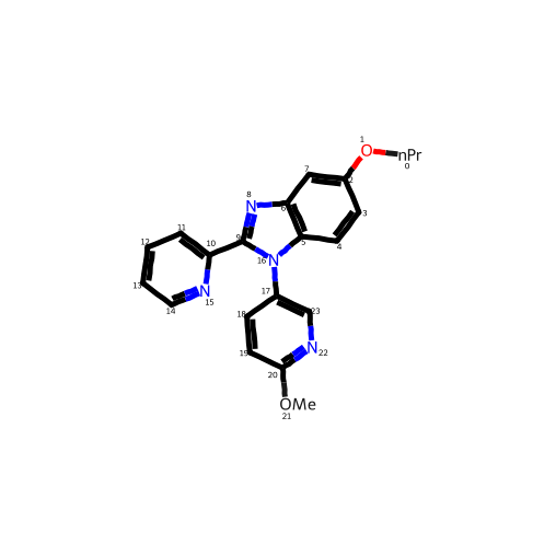 CCCOc1ccc2c(c1)nc(-c1ccccn1)n2-c1ccc(OC)nc1